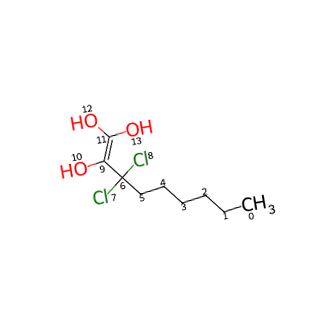 CCCCCCC(Cl)(Cl)C(O)=C(O)O